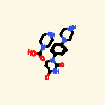 O=C(O)N1CCNCC1.O=C1CCN(c2ccc(N3CCNCC3)cc2)C(=O)N1